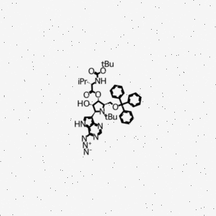 CC(C)[C@H](NC(=O)OC(C)(C)C)C(=O)O[C@H]1[C@@H](O)[C@H](c2c[nH]c3c(N=[N+]=[N-])ncnc23)N(C(C)(C)C)[C@@H]1COC(c1ccccc1)(c1ccccc1)c1ccccc1